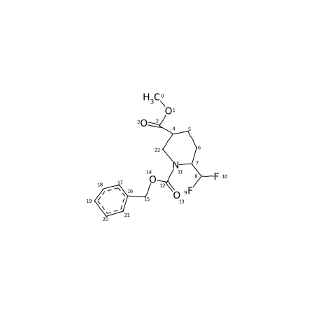 COC(=O)C1CCC(C(F)F)N(C(=O)OCc2ccccc2)C1